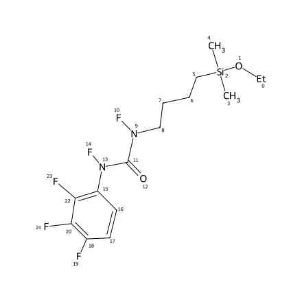 CCO[Si](C)(C)CCCCN(F)C(=O)N(F)c1ccc(F)c(F)c1F